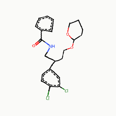 O=C(NCC(CCOC1CCCCO1)c1ccc(Cl)c(Cl)c1)c1ccccc1